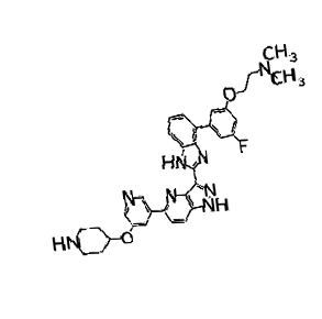 CN(C)CCOc1cc(F)cc(-c2cccc3[nH]c(-c4n[nH]c5ccc(-c6cncc(OC7CCNCC7)c6)nc45)nc23)c1